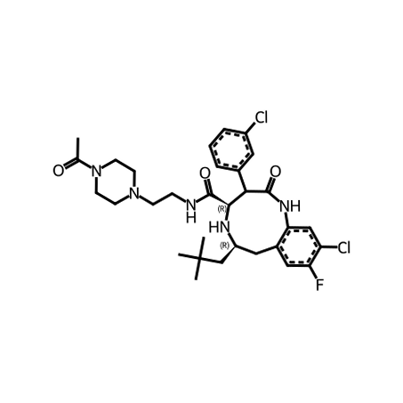 CC(=O)N1CCN(CCNC(=O)[C@@H]2N[C@H](CC(C)(C)C)Cc3cc(F)c(Cl)cc3NC(=O)C2c2cccc(Cl)c2)CC1